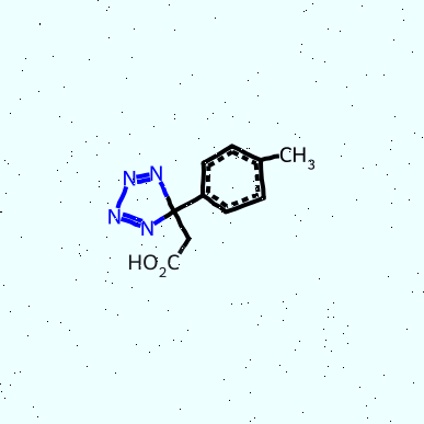 Cc1ccc(C2(CC(=O)O)N=NN=N2)cc1